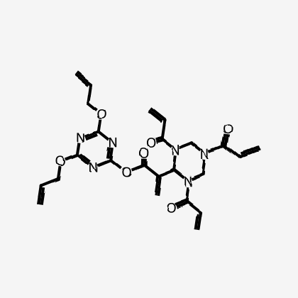 C=CCOc1nc(OCC=C)nc(OC(=O)C(=C)C2N(C(=O)C=C)CN(C(=O)C=C)CN2C(=O)C=C)n1